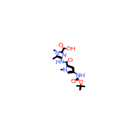 Cc1c(NC(=O)c2cc(NC(=O)OC(C)(C)C)cn2C)nc(C(=O)O)n1C